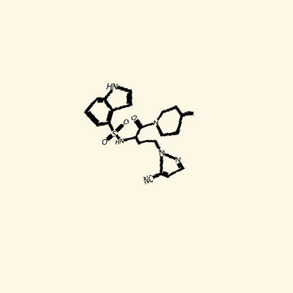 CC1CCN(C(=O)C(CCn2nccc2C#N)NS(=O)(=O)c2cccc3[nH]ccc23)CC1